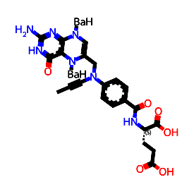 CC#CN(CC1=C[N]([BaH])c2nc(N)[nH]c(=O)c2[N]1[BaH])c1ccc(C(=O)N[C@@H](CCC(=O)O)C(=O)O)cc1